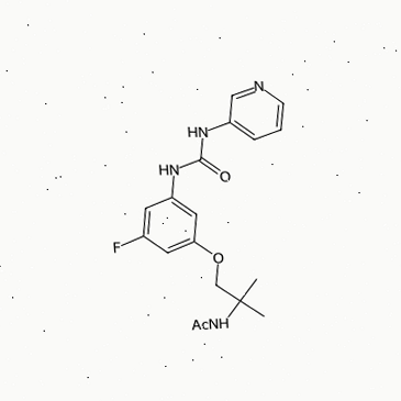 CC(=O)NC(C)(C)COc1cc(F)cc(NC(=O)Nc2cccnc2)c1